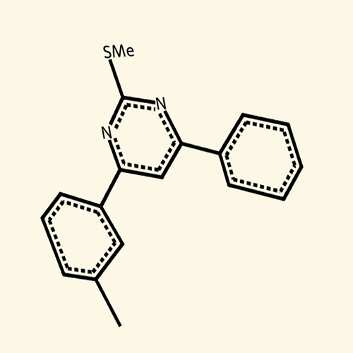 CSc1nc(-c2ccccc2)cc(-c2cccc(C)c2)n1